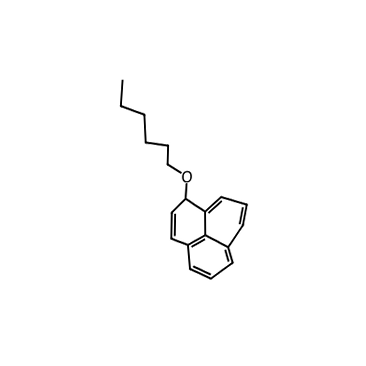 CCCCCCOC1C=Cc2cccc3cccc1c23